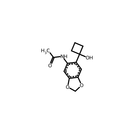 CC(=O)Nc1cc2c(cc1C1(O)CCC1)OCO2